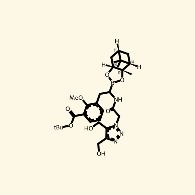 COc1c(CC(NC(=O)Cn2nnc(CO)c2CO)B2O[C@@H]3C[C@@H]4C[C@@H](C4(C)C)[C@]3(C)O2)cccc1C(=O)OC(C)(C)C